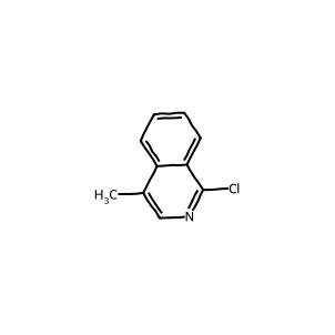 Cc1cnc(Cl)c2ccccc12